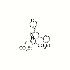 C=Cc1c(C(=O)OCC)c(C(=O)OCC)c2c(-c3ccccc3)cc(N3CCOCC3)nn12